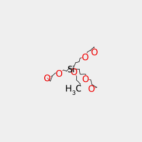 CCCCO[Si](CCCOCC1CO1)(CCCOCC1CO1)CCCOCC1CO1